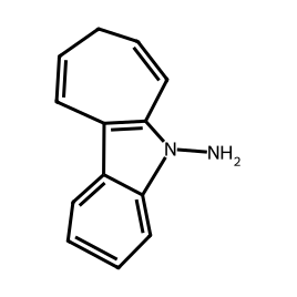 Nn1c2c(c3ccccc31)C=CCC=C2